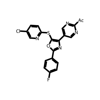 CC(=O)c1ncc(-c2nc(-c3ccc(F)cc3)oc2Sc2ccc(Cl)cn2)cn1